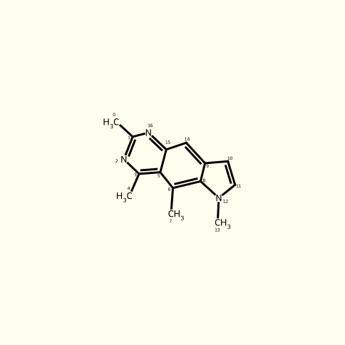 Cc1nc(C)c2c(C)c3c(ccn3C)cc2n1